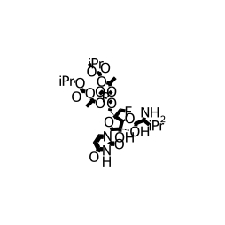 CC(C)OC(=O)OC(C)OP(=O)(OC[C@@]1(CF)O[C@@H](n2ccc(=O)[nH]c2=O)[C@](C)(O)[C@@H]1OC(O)C(N)C(C)C)OC(C)OC(=O)OC(C)C